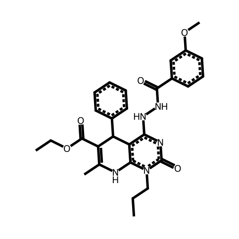 CCCn1c2c(c(NNC(=O)c3cccc(OC)c3)nc1=O)C(c1ccccc1)C(C(=O)OCC)=C(C)N2